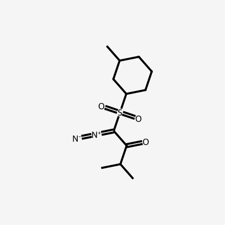 CC1CCCC(S(=O)(=O)C(=[N+]=[N-])C(=O)C(C)C)C1